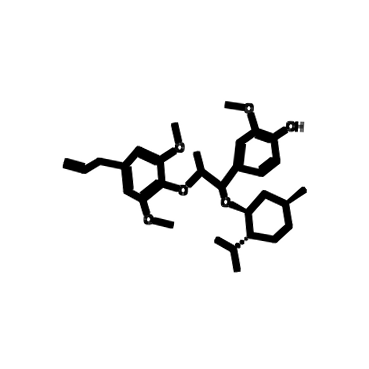 C=CCc1cc(OC)c(OC(C)C(O[C@H]2C[C@@H](C)CC[C@@H]2C(C)C)c2ccc(O)c(OC)c2)c(OC)c1